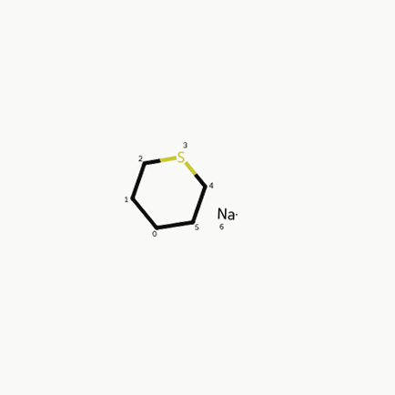 C1CCSCC1.[Na]